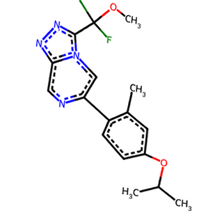 COC(F)(F)c1nnc2cnc(-c3ccc(OC(C)C)cc3C)cn12